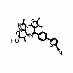 Cc1sc2c(c1C)C(c1ccc(-c3ccc(C#N)s3)cc1)=N[C@@H](C(C)C(=O)O)c1nnc(C)n1-2